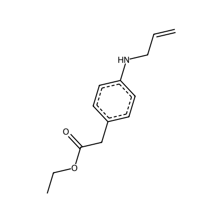 C=CCNc1ccc(CC(=O)OCC)cc1